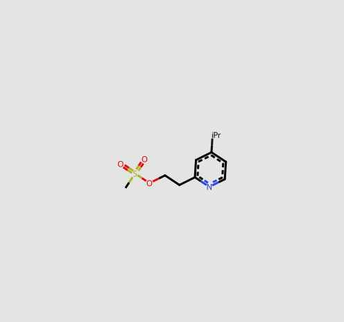 CC(C)c1ccnc(CCOS(C)(=O)=O)c1